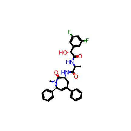 C[C@H](NC(=O)[C@H](O)c1cc(F)cc(F)c1)C(=O)N[C@H]1CC(c2ccccc2)=C[C@@H](c2ccccc2)N(C)C1=O